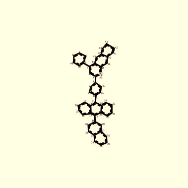 c1ccc(-c2cc(-c3ccc(-c4c5ccccc5c(-c5ccc6ccccc6c5)c5ccccc45)cc3)nc3cc4ccccc4cc23)cc1